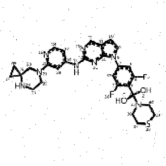 OC(O)(c1c(F)cc(-n2ccc3cnc(Nc4ccnc(N5CCNC6(CC6)C5)c4)nc32)cc1F)N1CCSCC1